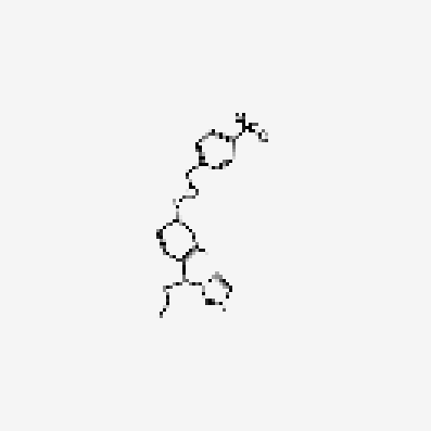 CCCC(C1=C(C)CC(=NOCc2ccc([N+](=O)[O-])cc2)C=C1)n1ccnc1